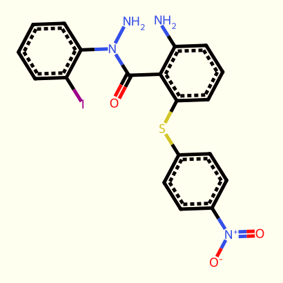 Nc1cccc(Sc2ccc([N+](=O)[O-])cc2)c1C(=O)N(N)c1ccccc1I